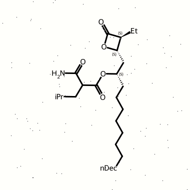 CCCCCCCCCCCCCCCCC[C@@H](C[C@@H]1OC(=O)[C@H]1CC)OC(=O)C(CC(C)C)C(N)=O